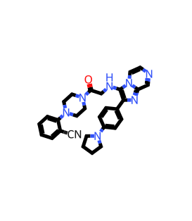 N#Cc1ccccc1N1CCN(C(=O)CNc2c(-c3ccc(N4CCCC4)cc3)nc3cnccn23)CC1